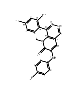 Cn1c(=O)c(Nc2ccc(F)cc2)cc2cnnc(-c3ccc(F)cc3F)c21